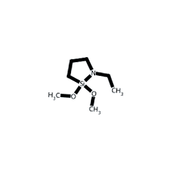 CCN1CCC[Si]1(OC)OC